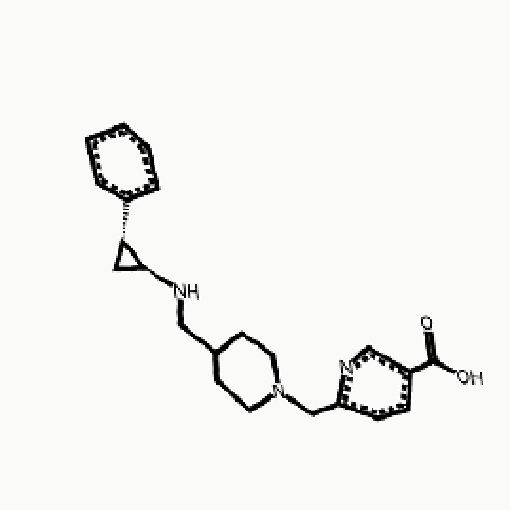 O=C(O)c1ccc(CN2CCC(CN[C@H]3C[C@@H]3c3ccccc3)CC2)nc1